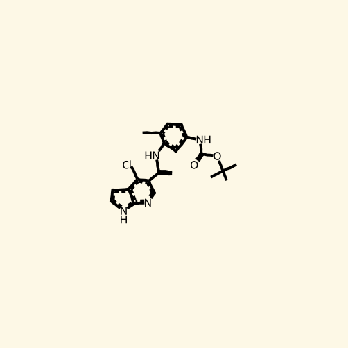 C=C(Nc1cc(NC(=O)OC(C)(C)C)ccc1C)c1cnc2[nH]ccc2c1Cl